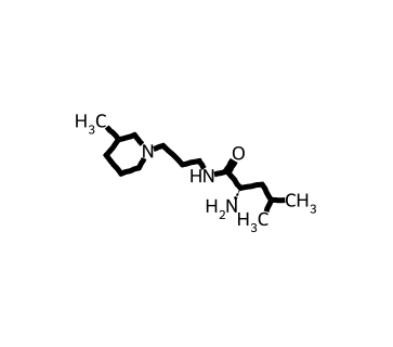 CC(C)C[C@H](N)C(=O)NCCCN1CCCC(C)C1